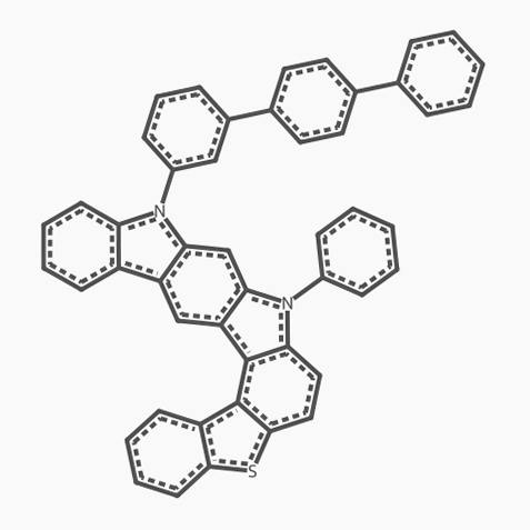 c1ccc(-c2ccc(-c3cccc(-n4c5ccccc5c5cc6c7c8c(ccc7n(-c7ccccc7)c6cc54)sc4ccccc48)c3)cc2)cc1